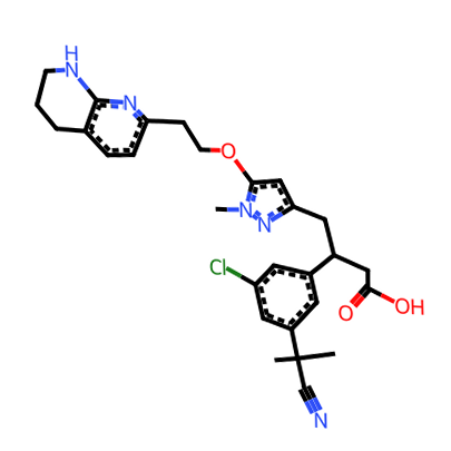 Cn1nc(CC(CC(=O)O)c2cc(Cl)cc(C(C)(C)C#N)c2)cc1OCCc1ccc2c(n1)NCCC2